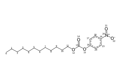 CCCCCCCCCCCCOC(=O)Oc1ccc([N+](=O)[O-])cc1